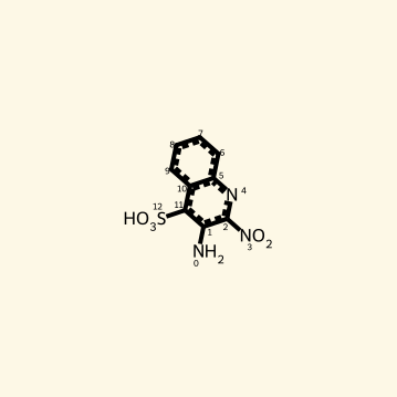 Nc1c([N+](=O)[O-])nc2ccccc2c1S(=O)(=O)O